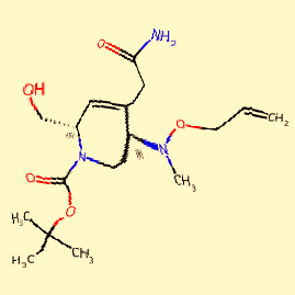 C=CCON(C)[C@H]1CN(C(=O)OC(C)(C)C)[C@H](CO)C=C1CC(N)=O